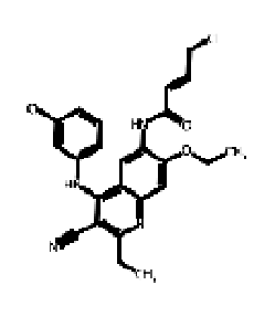 CCOc1cc2nc(CC)c(C#N)c(Nc3cccc(Cl)c3)c2cc1NC(=O)/C=C/CCl